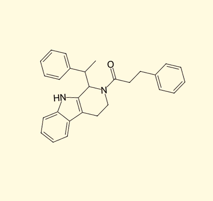 CC(c1ccccc1)C1c2[nH]c3ccccc3c2CCN1C(=O)CCc1ccccc1